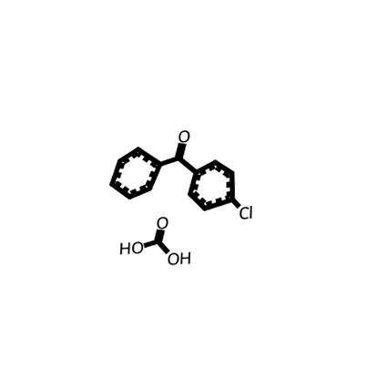 O=C(O)O.O=C(c1ccccc1)c1ccc(Cl)cc1